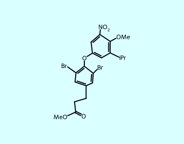 COC(=O)CCc1cc(Br)c(Oc2cc(C(C)C)c(OC)c([N+](=O)[O-])c2)c(Br)c1